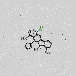 CC(C)=c1c(C(C)(C)C)cc2c(c1C1=CC=CC1)[C]([Hf+2])=c1c(C(C)(C)C)cccc1=2.[Cl-].[Cl-]